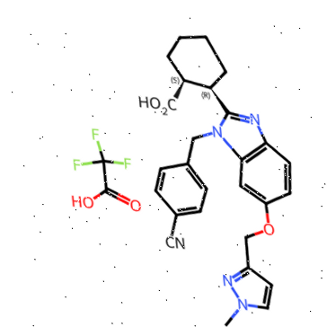 Cn1ccc(COc2ccc3nc([C@@H]4CCCC[C@@H]4C(=O)O)n(Cc4ccc(C#N)cc4)c3c2)n1.O=C(O)C(F)(F)F